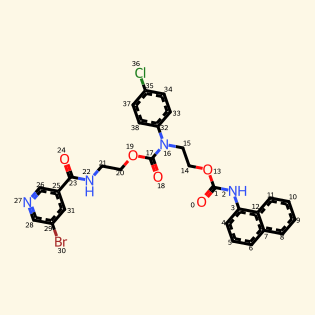 O=C(Nc1cccc2ccccc12)OCCN(C(=O)OCCNC(=O)c1cncc(Br)c1)c1ccc(Cl)cc1